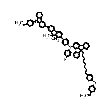 C=Cc1ccc(Oc2ccc(CCCCCCCCC3(c4ccccc4)c4ccccc4-c4ccc(N(c5ccc(F)cc5)c5ccc(-c6ccc7c(c6)C(C)(C)c6cc(-c8ccc9c(c8)c8ccccc8n9-c8ccc(CC)cc8)ccc6-7)cc5)cc43)cc2)cc1